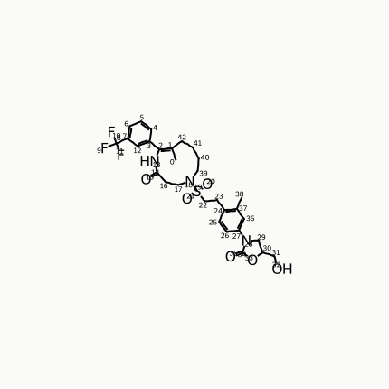 C/C1=C(/c2cccc(C(F)(F)F)c2)NC(=O)CCN(S(=O)(=O)CCc2ccc(N3CC(CO)OC3=O)cc2C)CCCC1